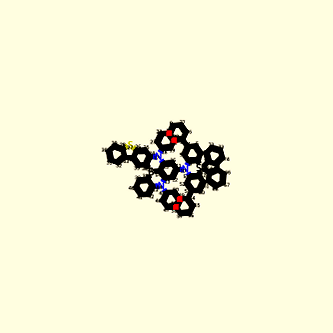 c1ccc(-c2ccc3c(c2)N(c2cc4c5c(c2)N(c2ccccc2)c2cc6sc7ccccc7c6cc2B5c2ccccc2N4c2ccccc2)c2cc(-c4ccccc4)ccc2[Si]3(c2ccccc2)c2ccccc2)cc1